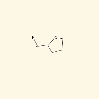 F[CH]C1CCCO1